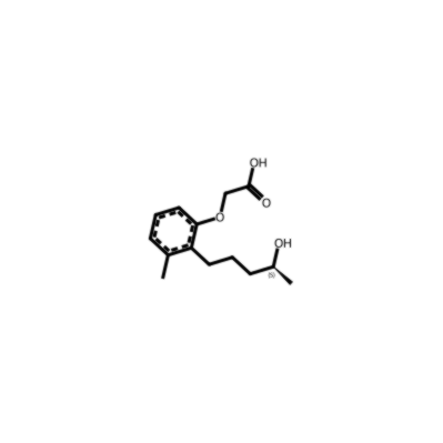 Cc1cccc(OCC(=O)O)c1CCC[C@H](C)O